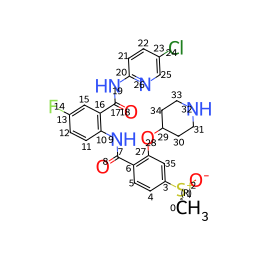 C[S@+]([O-])c1ccc(C(=O)Nc2ccc(F)cc2C(=O)Nc2ccc(Cl)cn2)c(OC2CCNCC2)c1